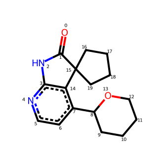 O=C1Nc2nccc(C3CCCCO3)c2C12CCCC2